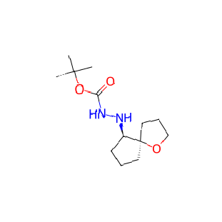 CC(C)(C)OC(=O)NN[C@@H]1CCC[C@@]12CCCO2